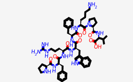 CC(C)[C@H](NC(=O)[C@@H]1CCCN1C(=O)[C@H](CCCCN)NC(=O)[C@H](Cc1ccccc1)NC(=O)[C@@H](Cc1c[nH]c2ccccc12)NC(=O)[C@H](CCCNC(=N)N)NC(=O)[C@@H](Cc1ccccc1)NC(=O)[C@@H]1CCCN1)C(=O)O